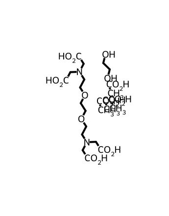 CC(=O)O.CC(=O)O.CC(=O)O.CC(=O)O.O=C(O)CN(CCOCCOCCN(CC(=O)O)CC(=O)O)CC(=O)O.OCCO